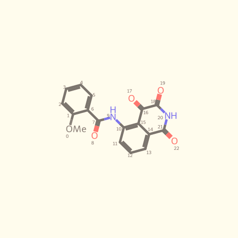 COc1ccccc1C(=O)Nc1cccc2c1C(=O)C(=O)NC2=O